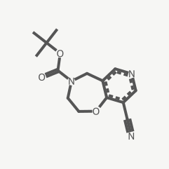 CC(C)(C)OC(=O)N1CCOc2c(C#N)cncc2C1